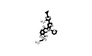 CCCS(=O)(=O)Nc1c(F)ccc(C(=O)c2nn(C3CCCCO3)c3ncc(-c4cnc(C5CC5)nc4C)cc23)c1F